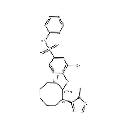 C[C@H]1CCCCC[C@H](c2ccnn2C)[C@]1(C)Oc1ccc(S(=O)(=O)Nc2ccncn2)cc1C#N